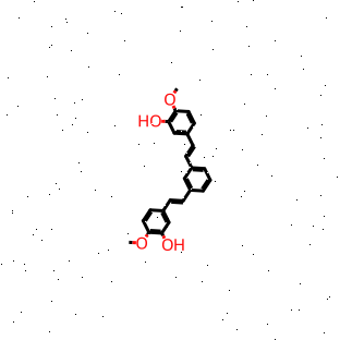 COc1ccc(/C=C/c2cccc(/C=C/c3ccc(OC)c(O)c3)c2)cc1O